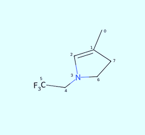 CC1=CN(CC(F)(F)F)CC1